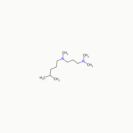 CC(C)CCCN(C)CCCN(C)C